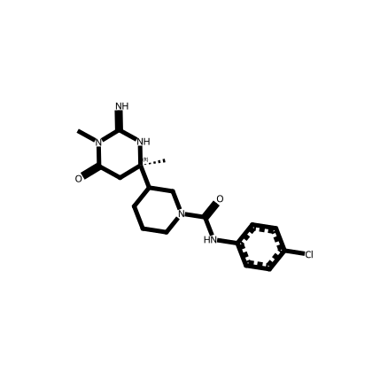 CN1C(=N)N[C@@](C)(C2CCCN(C(=O)Nc3ccc(Cl)cc3)C2)CC1=O